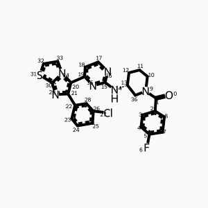 O=C(c1ccc(F)cc1)N1CCC[C@@H](Nc2nccc(-c3c(-c4cccc(Cl)c4)nc4sccn34)n2)C1